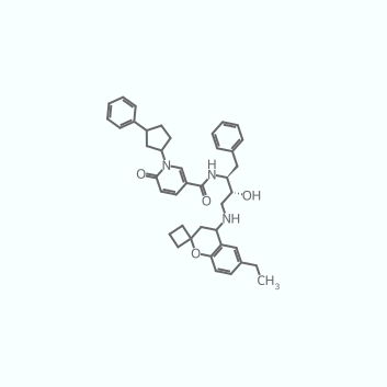 CCc1ccc2c(c1)C(NC[C@@H](O)[C@H](Cc1ccccc1)NC(=O)c1ccc(=O)n(C3CCC(c4ccccc4)C3)c1)CC1(CCC1)O2